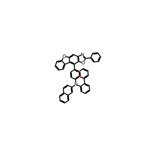 c1ccc(-c2nc3cc4oc5ccccc5c4c(-c4ccc(N(c5ccc6ccccc6c5)c5ccccc5-c5ccccc5)cc4)c3o2)cc1